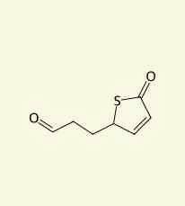 O=CCCC1C=CC(=O)S1